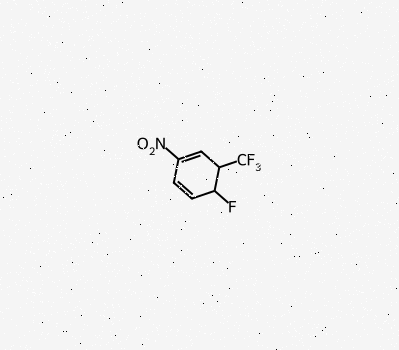 O=[N+]([O-])C1=CC(C(F)(F)F)C(F)C=C1